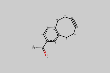 CC(C)C(=O)c1ccc2c(c1)CCC#CCC2